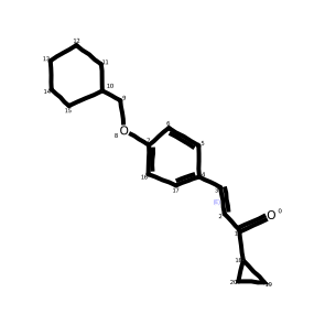 O=C(/C=C/c1ccc(OCC2CCCCC2)cc1)C1CC1